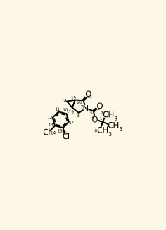 CC(C)(C)OC(=O)N1C[C@@]2(c3ccc(Cl)c(Cl)c3)CC2C1=O